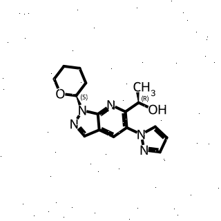 C[C@@H](O)c1nc2c(cnn2[C@@H]2CCCCO2)cc1-n1cccn1